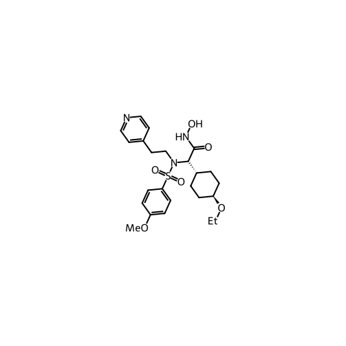 CCO[C@H]1CC[C@H](C(C(=O)NO)N(CCc2ccncc2)S(=O)(=O)c2ccc(OC)cc2)CC1